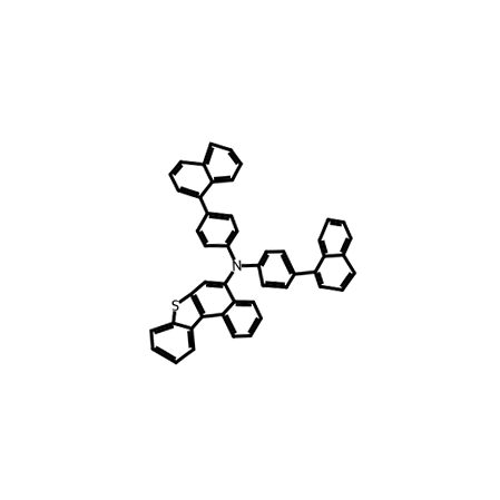 c1ccc2c(-c3ccc(N(c4ccc(-c5cccc6ccccc56)cc4)c4cc5sc6ccccc6c5c5ccccc45)cc3)cccc2c1